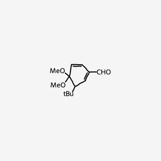 COC1(OC)C=CC(C=O)=CC1C(C)(C)C